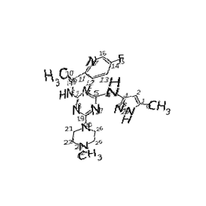 Cc1cc(Nc2nc(N[C@@H](C)c3ccc(F)cn3)nc(N3CCN(C)CC3)n2)n[nH]1